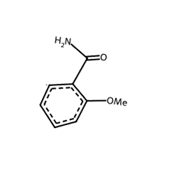 COc1ccc[c]c1C(N)=O